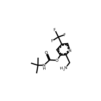 CC(C)(C)NC(=O)Oc1cc(C(F)(F)F)cnc1CN